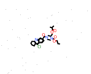 CCCOC(=O)N1CCN(C(=O)c2ccc3c(Cl)c4c(nc3c2)CCCC4)CC1COC(=O)C(C)C